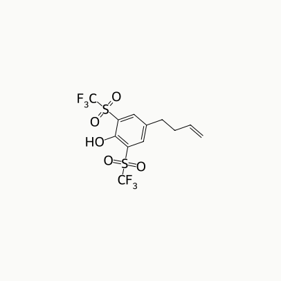 C=CCCc1cc(S(=O)(=O)C(F)(F)F)c(O)c(S(=O)(=O)C(F)(F)F)c1